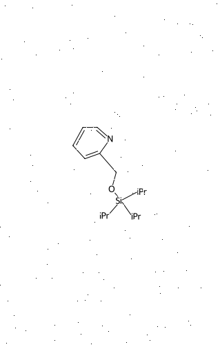 CC(C)[Si](OCc1ccccn1)(C(C)C)C(C)C